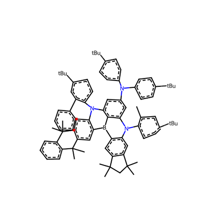 Cc1cc(C(C)(C)C)ccc1N1c2cc3c(cc2B2c4cc5c(cc4N(c4ccc(C(C)(C)C)cc4-c4ccccc4)c4cc(N(c6ccc(C(C)(C)C)cc6)c6ccc(C(C)(C)C)cc6)cc1c42)C(C)(C)c1ccccc1C5(C)C)C(C)(C)CC3(C)C